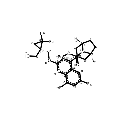 CC(C)(C)OC(=O)N1[C@@H]2CC[C@@]1(C)CN(c1nc(OC[C@]3(CO)CC3(F)F)nc3c(F)cc(F)cc13)C2